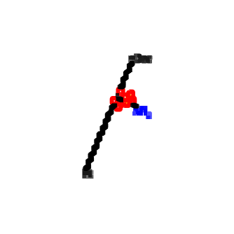 CC/C=C/C/C=C/C/C=C/C/C=C/C/C=C/C/C=C/CCC(=O)O[C@H](CO/C=C/CCCCCCCCCCCCCCCC)COP(=O)(O)OCCN